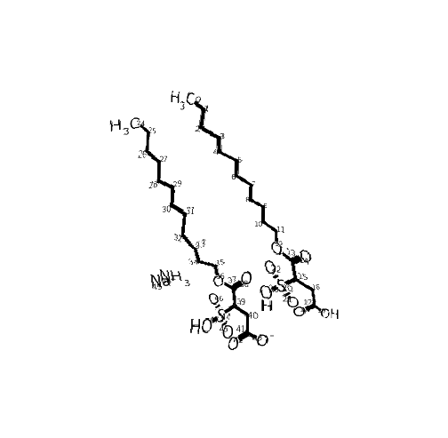 CCCCCCCCCCCCOC(=O)C(CC(=O)O)S(=O)(=O)O.CCCCCCCCCCCCOC(=O)C(CC(=O)[O-])S(=O)(=O)O.N.[Na+]